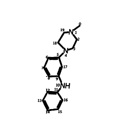 CN1CCN(c2cc[c]c(Nc3ccccc3)c2)CC1